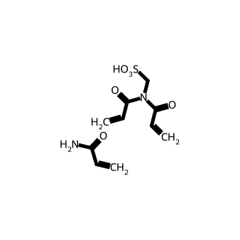 C=CC(=O)N(CS(=O)(=O)O)C(=O)C=C.C=CC(N)=O